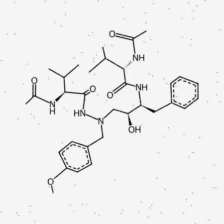 COc1ccc(CN(C[C@H](O)[C@H](Cc2ccccc2)NC(=O)[C@@H](NC(C)=O)C(C)C)NC(=O)[C@@H](NC(C)=O)C(C)C)cc1